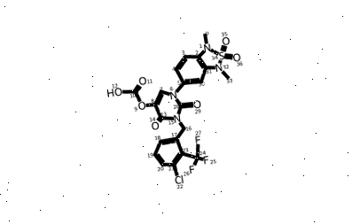 CN1c2ccc(-n3cc(OC(=O)O)c(=O)n(Cc4cccc(Cl)c4C(F)(F)F)c3=O)cc2N(C)S1(=O)=O